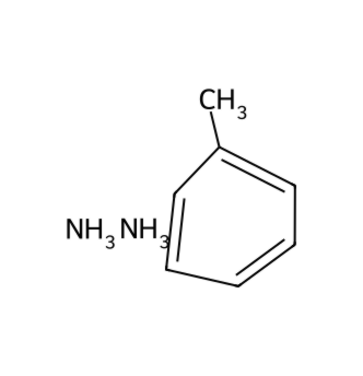 Cc1ccccc1.N.N